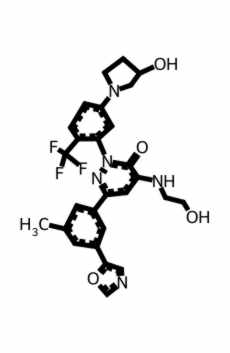 Cc1cc(-c2cc(NCCO)c(=O)n(-c3cc(N4CCC(O)C4)ccc3C(F)(F)F)n2)cc(-c2cnco2)c1